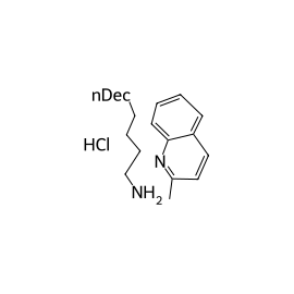 CCCCCCCCCCCCCCN.Cc1ccc2ccccc2n1.Cl